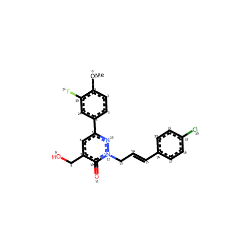 COc1ccc(-c2cc(CO)c(=O)n(C/C=C/c3ccc(Cl)cc3)n2)cc1F